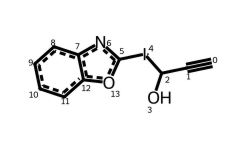 C#CC(O)[I]c1nc2ccccc2o1